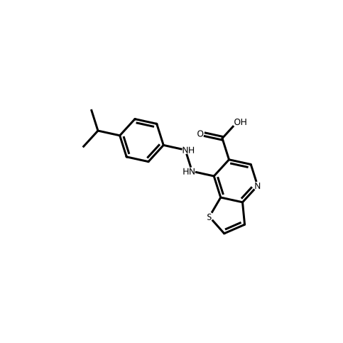 CC(C)c1ccc(NNc2c(C(=O)O)cnc3ccsc23)cc1